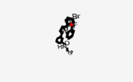 CN(C)CCNC(=O)c1cccc(-c2ccc(-c3ccc(Br)cc3)n2-c2ccccc2C(F)(F)F)c1